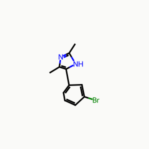 Cc1nc(C)c(-c2cccc(Br)c2)[nH]1